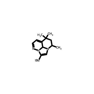 CC1CC(C)(C)C2=CC=NN3C(C(C)(C)C)=CN1C23